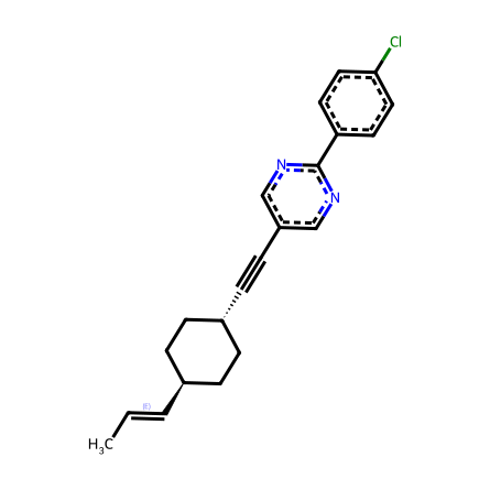 C/C=C/[C@H]1CC[C@H](C#Cc2cnc(-c3ccc(Cl)cc3)nc2)CC1